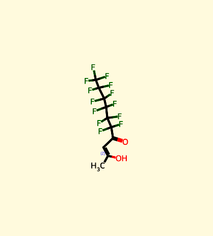 C/C(O)=C/C(=O)C(F)(F)C(F)(F)C(F)(F)C(F)(F)C(F)(F)C(F)(F)F